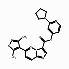 Cc1noc(C)c1-c1ccc2ncc(C(=O)Nc3ccnc(N4CCCC4)c3)n2n1